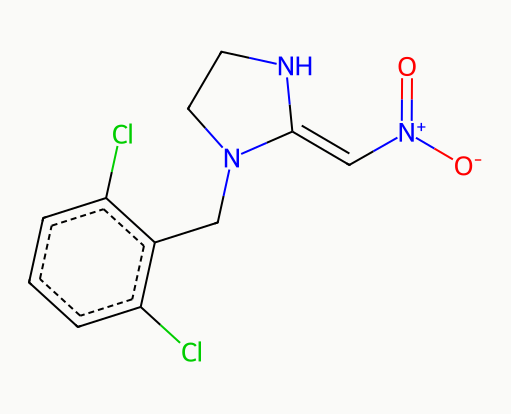 O=[N+]([O-])C=C1NCCN1Cc1c(Cl)cccc1Cl